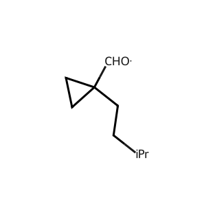 CC(C)CCC1([C]=O)CC1